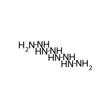 NNNNNNNN